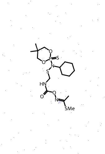 CS/C(C)=N/OC(=O)NCSN(C1CCCCC1)P1(=S)OCC(C)(C)CO1